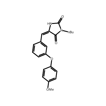 CCCCN1C(=O)NC(=Cc2cccc(Oc3ccc(OC)cc3)c2)C1=O